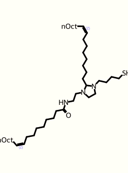 CCCCCCCC/C=C\CCCCCCCC(=O)NCCN1CCN(CCCCS)C1CCCCCCC/C=C\CCCCCCCC